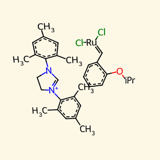 CC(C)Oc1ccccc1[CH]=[Ru]([Cl])[Cl].Cc1cc(C)c(N2C=[N+](c3c(C)cc(C)cc3C)CC2)c(C)c1